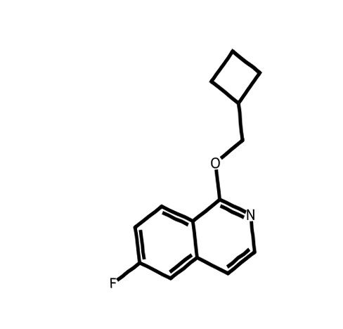 Fc1ccc2c(OCC3CCC3)nccc2c1